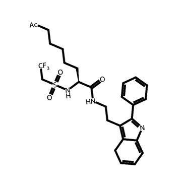 CC(=O)CCCCC[C@H](NS(=O)(=O)CC(F)(F)F)C(=O)NCCC1=C2CC=CC=C2N=C1c1ccccc1